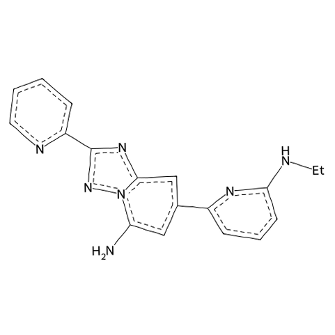 CCNc1cccc(-c2cc(N)n3nc(-c4ccccn4)nc3c2)n1